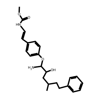 COC(=O)NC=Cc1ccc(OC(N)C(O)CC(C)CCc2ccccc2)cc1